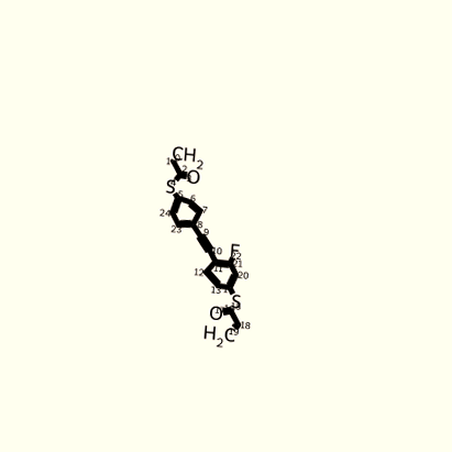 C=CC(=O)Sc1ccc(C#Cc2ccc(SC(=O)C=C)cc2F)cc1